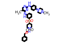 Cc1cnc(Nc2ccc(N3CCN(C)CC3)cc2)nc1Nc1cccc(S(=O)(=O)C2CCNCC2)c1.O=COCc1ccccc1